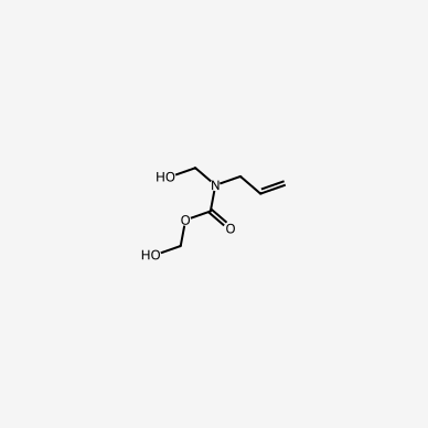 C=CCN(CO)C(=O)OCO